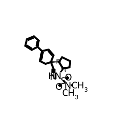 CN(C)S(=O)(=O)N[C@@H]1CCC[C@@H]1C1(C#N)C=CC(c2ccccc2)=CC1